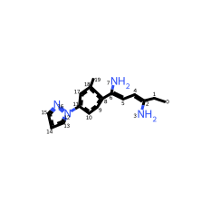 CC/C(N)=C/C=C(\N)c1ccc(-n2cccn2)cc1C